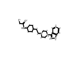 O=C(CF)NC1CCC(CCN2CCN(c3noc4ccncc34)CC2)CC1